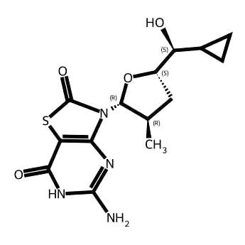 C[C@@H]1C[C@@H]([C@@H](O)C2CC2)O[C@H]1n1c(=O)sc2c(=O)[nH]c(N)nc21